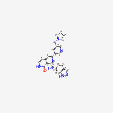 O=c1[nH]ccc2cc(-c3cncc(CN4CCCC4)c3)nc(Nc3ccc4cn[nH]c4c3)c12